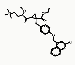 CCOC(=O)[C@@]1(Cc2ccc(OCc3cc(Cl)nc4ccccc34)cc2)CC1C(=O)N(CC[Si](C)(C)C)OC